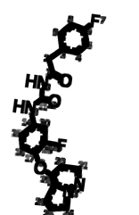 O=C(Cc1ccc(F)cc1)NC(=O)Nc1ccc(Oc2ccnn3cccc23)c(F)c1